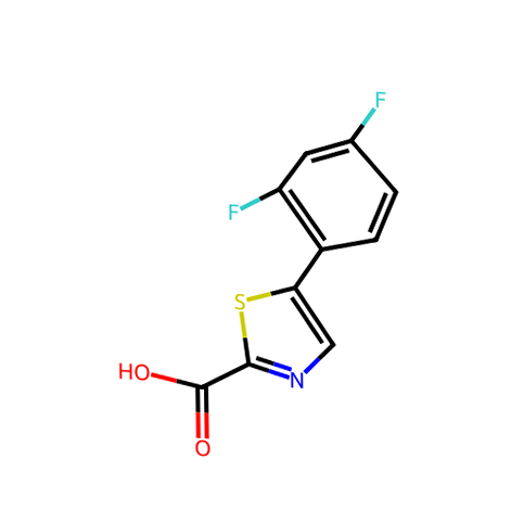 O=C(O)c1ncc(-c2ccc(F)cc2F)s1